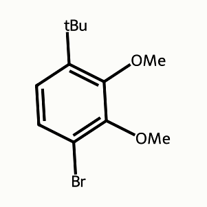 COc1c(Br)ccc(C(C)(C)C)c1OC